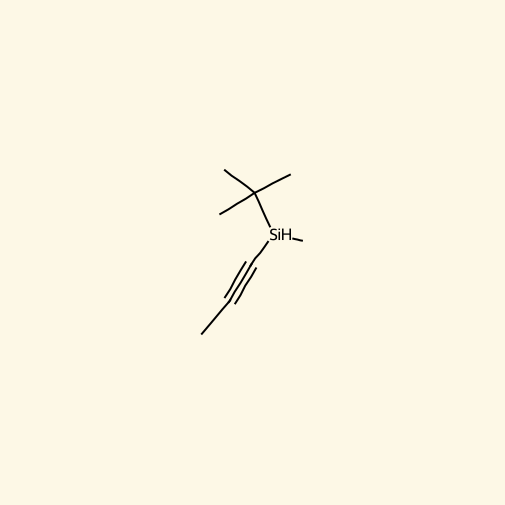 CC#C[SiH](C)C(C)(C)C